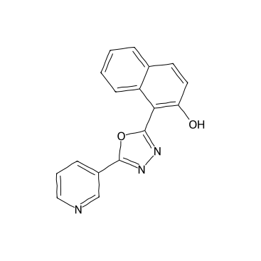 Oc1ccc2ccccc2c1-c1nnc(-c2cccnc2)o1